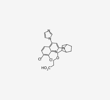 O=C(O)CCOCC1CC2CCC1N2c1cc(-n2ccnc2)c2ccc(Cl)c(Cl)c2n1